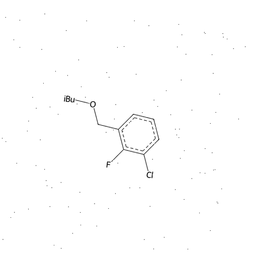 CCC(C)OCc1cccc(Cl)c1F